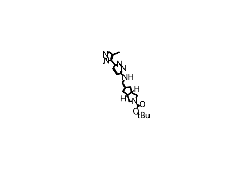 Cc1cnn(C)c1-c1ccc(NCC2C[C@@H]3CN(C(=O)OC(C)(C)C)C[C@@H]3C2)nn1